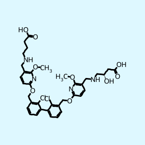 COc1nc(OCc2cccc(-c3cccc(COc4ccc(CNC[C@@H](O)CC(=O)O)c(OC)n4)c3Cl)c2Cl)ccc1CNCCCC(=O)O